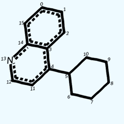 c1ccc2c(C3CCCCC3)ccnc2c1